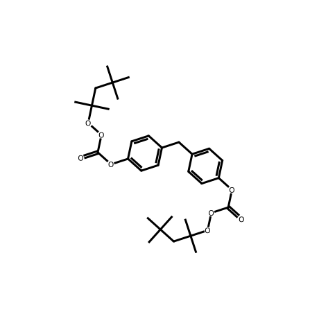 CC(C)(C)CC(C)(C)OOC(=O)Oc1ccc(Cc2ccc(OC(=O)OOC(C)(C)CC(C)(C)C)cc2)cc1